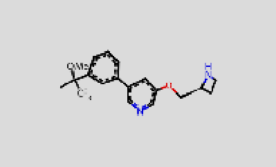 CO[C@@](C)(c1cccc(-c2cncc(OC[C@@H]3CCN3)c2)c1)C(F)(F)F